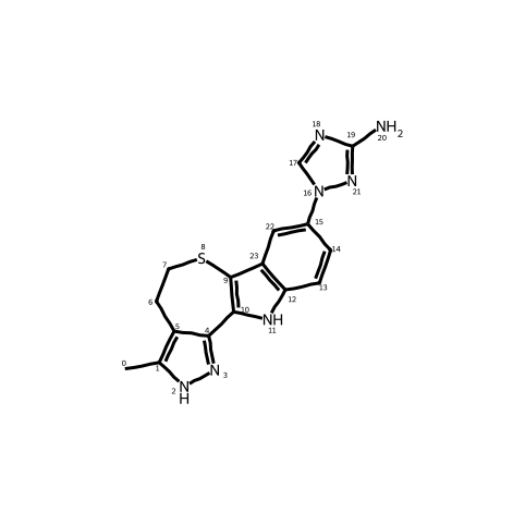 Cc1[nH]nc2c1CCSc1c-2[nH]c2ccc(-n3cnc(N)n3)cc12